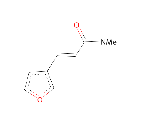 CNC(=O)/C=C/c1ccoc1